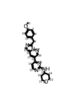 COc1ccc(Cc2nnc3cc(-c4ccnc(NC5CCOCC5)n4)cnn23)cc1